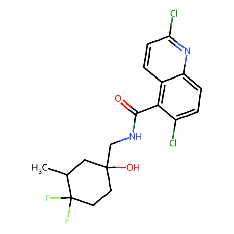 CC1CC(O)(CNC(=O)c2c(Cl)ccc3nc(Cl)ccc23)CCC1(F)F